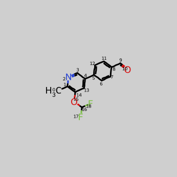 Cc1ncc(-c2ccc(C=O)cc2)cc1OC(F)F